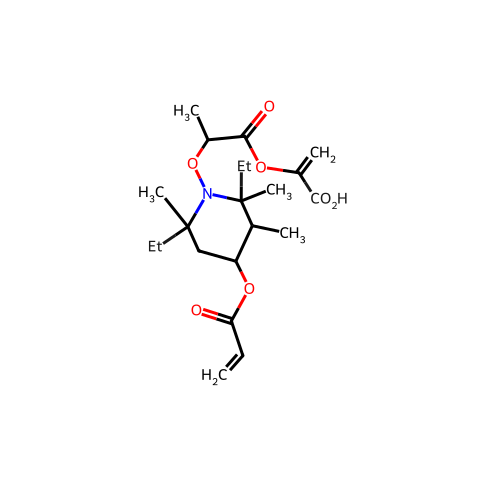 C=CC(=O)OC1CC(C)(CC)N(OC(C)C(=O)OC(=C)C(=O)O)C(C)(CC)C1C